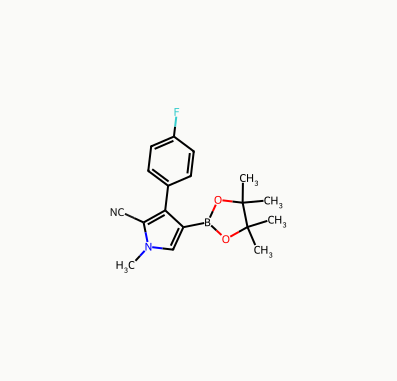 Cn1cc(B2OC(C)(C)C(C)(C)O2)c(-c2ccc(F)cc2)c1C#N